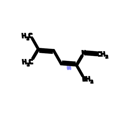 B/C(=C/C=C(C)C)N=C